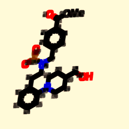 COC(=O)c1ccc(CN(CCc2ccccc2N2CCC(CO)CC2)[SH](=O)=O)cc1